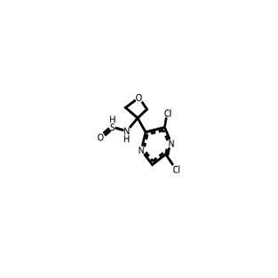 O=[SH]NC1(c2ncc(Cl)nc2Cl)COC1